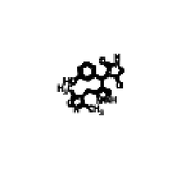 Cc1noc(C)c1Cc1n[nH]cc1C(c1cccc(O)c1)N1C(=O)CNC1=O